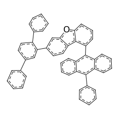 c1ccc(-c2ccc(-c3ccccc3)c(-c3ccc4c(c3)oc3cccc(-c5c6ccccc6c(-c6ccccc6)c6ccccc56)c34)c2)cc1